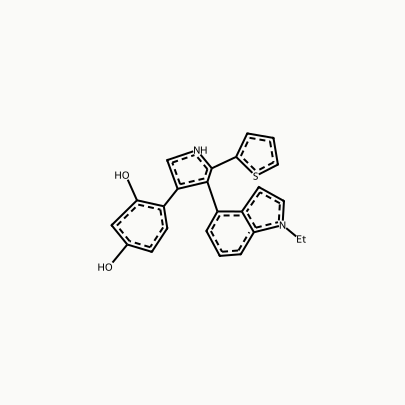 CCn1ccc2c(-c3c(-c4ccc(O)cc4O)c[nH]c3-c3cccs3)cccc21